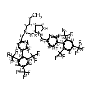 CCCCN(Cc1ccc(-c2c(C(F)(F)F)cc(C(F)(F)F)cc2C(F)(F)F)cn1)C[C@H]1CCCN1Cc1ccc(-c2c(C(F)(F)F)cc(C(F)(F)F)cc2C(F)(F)F)cn1